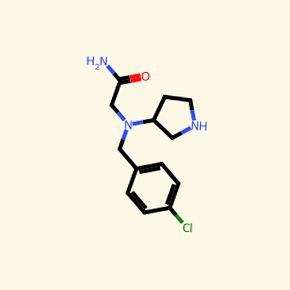 NC(=O)CN(Cc1ccc(Cl)cc1)C1CCNC1